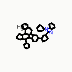 C=C/C=C\C1=C2CC(c3cccc(-c4nc5ccccc5n4-c4ccccc4)c3)=CC=C2c2c1c(-c1ccccc1)c1ccccc1c2-c1ccccc1